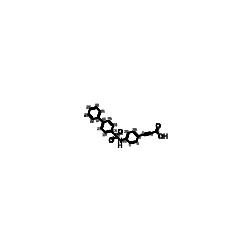 O=C(O)C#Cc1ccc(NS(=O)(=O)c2ccc(-c3ccccc3)cc2)cc1